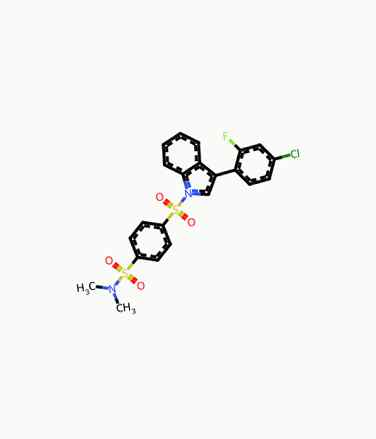 CN(C)S(=O)(=O)c1ccc(S(=O)(=O)n2cc(-c3ccc(Cl)cc3F)c3ccccc32)cc1